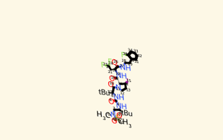 CN(C[C@@H](NC(=O)N[C@H](C(=O)N1CCC(I)[C@H]1C(=O)N[C@@H](CC(F)F)C(=O)NCCc1ccccc1F)C(C)(C)C)C(C)(C)C)S(C)(=O)=O